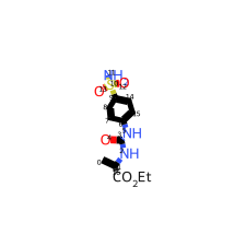 C=C(NC(=O)Nc1ccc(S(N)(=O)=O)cc1)C(=O)OCC